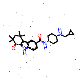 CC1(C)CC(C)(C)c2c([nH]c3ccc(C(=O)N[C@H]4CC[C@H](NCC5CC5)CC4)cc23)C1=O